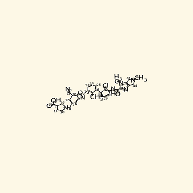 Cc1c(-c2nc3cc(CN4CCC(C(=O)O)C4)cc(C#N)c3o2)cccc1-c1cccc(NC(=O)c2nc3c(n2C)CN(C)C3)c1Cl